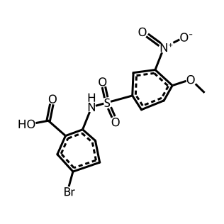 COc1ccc(S(=O)(=O)Nc2ccc(Br)cc2C(=O)O)cc1[N+](=O)[O-]